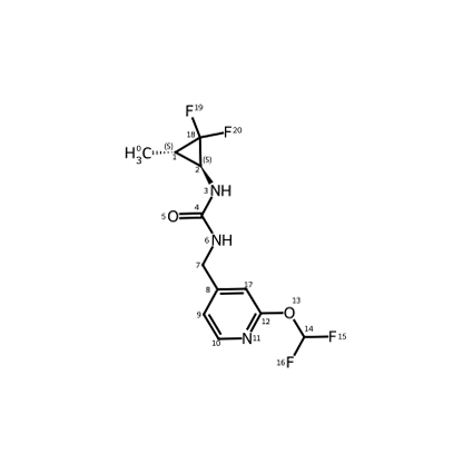 C[C@H]1[C@H](NC(=O)NCc2ccnc(OC(F)F)c2)C1(F)F